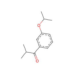 CC(C)Oc1cccc(C(=O)C(C)C)c1